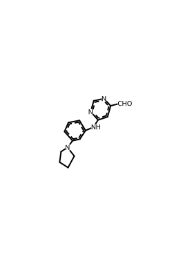 O=Cc1cc(Nc2cccc(N3CCCC3)c2)ncn1